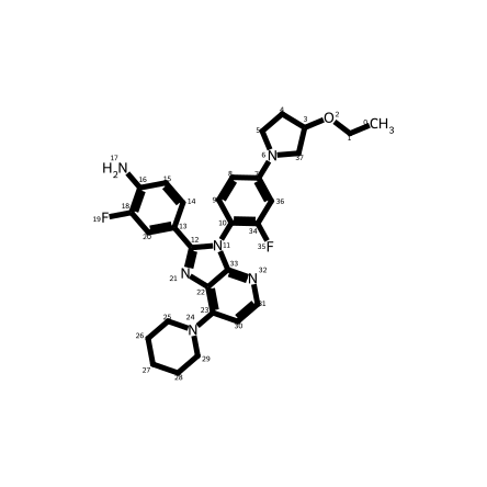 CCOC1CCN(c2ccc(-n3c(-c4ccc(N)c(F)c4)nc4c(N5CCCCC5)ccnc43)c(F)c2)C1